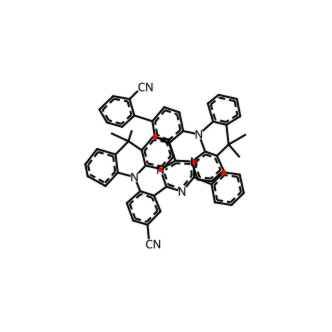 CC1(C)c2ccccc2N(c2ccc(C#N)cc2-c2nc(-c3ccccc3)nc(-c3cc(-c4ccccc4C#N)ccc3N3c4ccccc4C(C)(C)c4ccccc43)n2)c2ccccc21